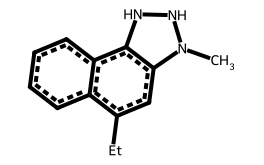 CCc1cc2c(c3ccccc13)NNN2C